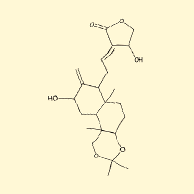 C=C1C(O)CC2C3(C)COC(C)(C)OC3CCC2(C)C1CC=C1C(=O)OCC1O